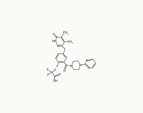 Cc1c(Cc2ccc(F)c(C(=O)N3CCN(c4ncccn4)CC3)c2)n[nH]c(=O)c1C.O=C(O)C(F)(F)F